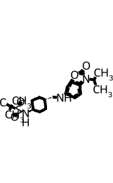 CC(C)n1c(=O)oc2cc(NC[C@H]3CC[C@H](NS(=O)(=O)C(C)(C)C)CC3)ccc21